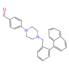 O=[C]c1ccc(N2CCN(Cc3ccccc3-c3cccc4ccccc34)CC2)cc1